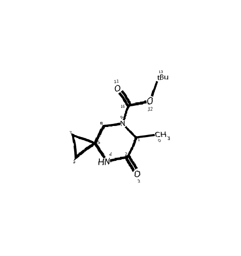 CC1C(=O)NC2(CC2)CN1C(=O)OC(C)(C)C